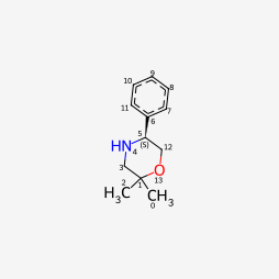 CC1(C)CN[C@@H](c2ccccc2)CO1